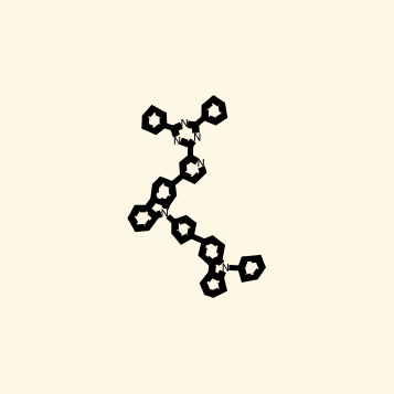 c1ccc(-c2nc(-c3ccccc3)nc(-c3cc(-c4ccc5c6ccccc6n(-c6ccc(-c7ccc8c(c7)c7ccccc7n8-c7ccccc7)cc6)c5c4)ccn3)n2)cc1